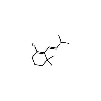 CCC1=C(C=CN(C)C)C(C)(C)CCC1